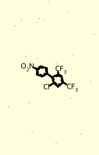 O=[N+]([O-])c1ccc(-c2c(Cl)cc(C(F)(F)F)cc2C(F)(F)F)cc1